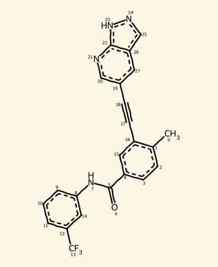 Cc1ccc(C(=O)Nc2cccc(C(F)(F)F)c2)cc1C#Cc1cnc2[nH]ncc2c1